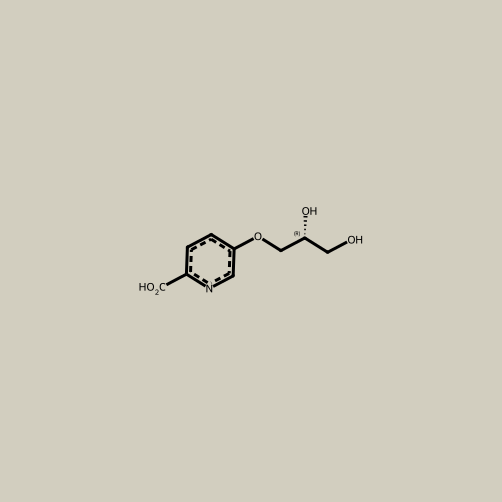 O=C(O)c1ccc(OC[C@H](O)CO)cn1